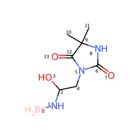 BNC(O)CN1C(=O)NC(C)(C)C1=O